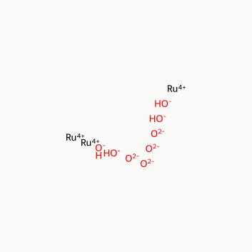 [O-2].[O-2].[O-2].[O-2].[OH-].[OH-].[OH-].[OH-].[Ru+4].[Ru+4].[Ru+4]